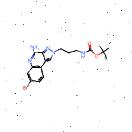 CC(C)(C)OC(=O)NCCCn1cc2c(n1)c(N)nc1cc(Br)ccc12